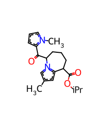 Cc1cc2n(c1)C(C(=O)c1cccn1C)CCCC2C(=O)OC(C)C